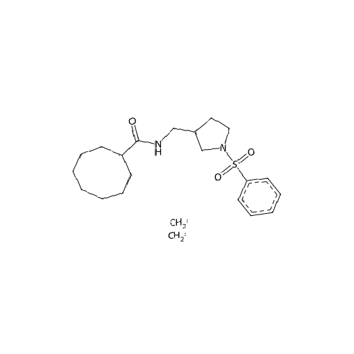 O=C(NCC1CCN(S(=O)(=O)c2ccccc2)C1)[C]1CCCCCCC1.[CH2].[CH2]